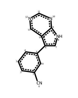 N#Cc1cccc(-c2c[nH]c3ncn[c]c23)c1